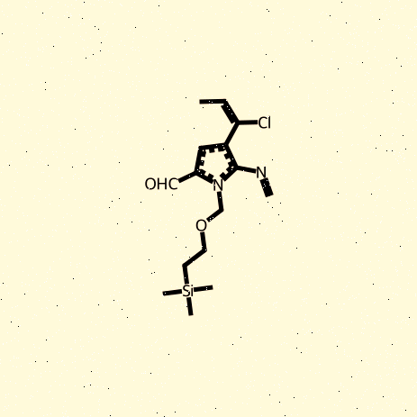 C=Nc1c(/C(Cl)=C\C)cc(C=O)n1COCC[Si](C)(C)C